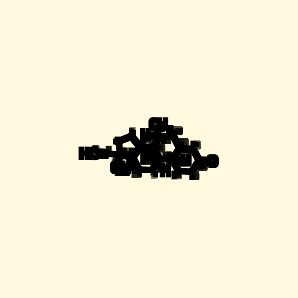 C#C[C@]1(O)CC[C@H]2[C@H]3[C@H](CCC21CC)[C@H]1CCC(=O)C=C1C[C@H]3C